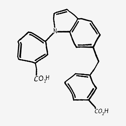 O=C(O)c1cccc(Cc2ccc3ccn(-c4cccc(C(=O)O)c4)c3c2)c1